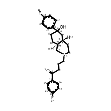 O=C(CCCN1CC[C@H]2CC(O)(c3ccc(F)cc3)CC[C@@H]2C1)c1ccc(F)cc1